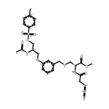 COC(=O)[C@H](COCc1cccc(OCC(COS(=O)(=O)c2ccc(C)cc2)OC(C)=O)c1)NC(=O)CN=[N+]=[N-]